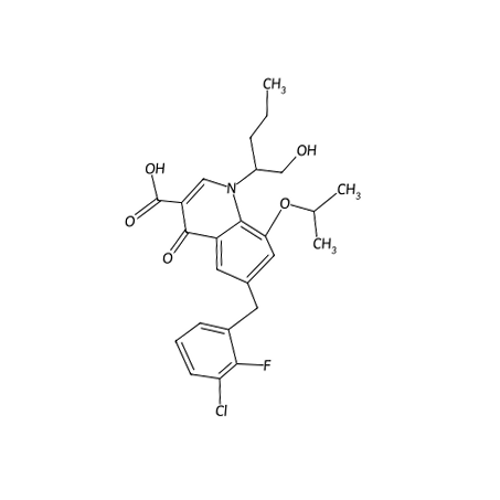 CCCC(CO)n1cc(C(=O)O)c(=O)c2cc(Cc3cccc(Cl)c3F)cc(OC(C)C)c21